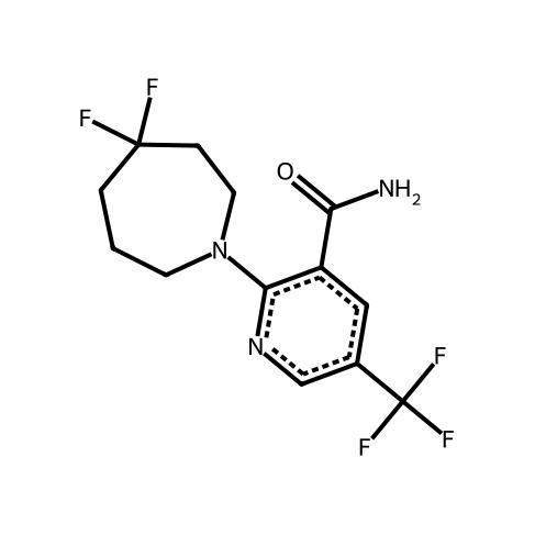 NC(=O)c1cc(C(F)(F)F)cnc1N1CCCC(F)(F)CC1